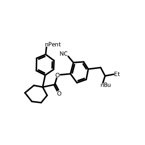 CCCCCc1ccc(C2(C(=O)Oc3ccc(CC(CC)CCCC)cc3C#N)CCCCC2)cc1